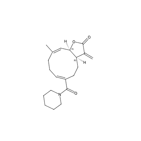 C=C1C(=O)O[C@@H]2C=C(C)CCC=C(C(=O)N3CCCCC3)CC[C@H]12